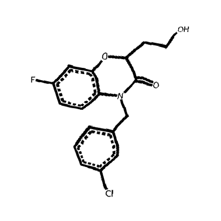 O=C1C(CCO)Oc2cc(F)ccc2N1Cc1cccc(Cl)c1